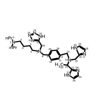 CCCN(CCC)CCCCN(Cc1ccc(CN(Cc2ncc[nH]2)C(C)c2ncc[nH]2)cc1)Cc1nnn[nH]1